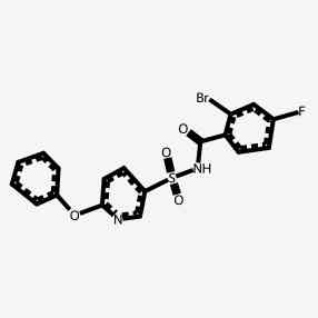 O=C(NS(=O)(=O)c1ccc(Oc2ccccc2)nc1)c1ccc(F)cc1Br